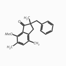 COc1c(C)cc(C)c2c1C(=O)C(C)(Cc1ccccc1)C2